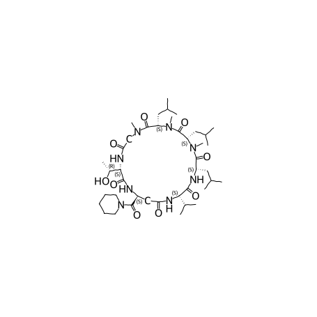 CC(C)C[C@@H]1NC(=O)[C@H](C(C)C)NC(=O)C[C@@H](C(=O)N2CCCCC2)NC(=O)[C@H]([C@@H](C)O)NC(=O)CN(C)C(=O)[C@H](CC(C)C)N(C)C(=O)[C@H](CC(C)C)N(C)C1=O